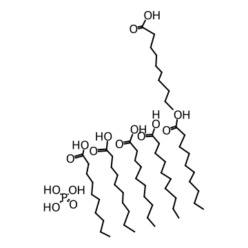 CCCCCCCCCC(=O)O.CCCCCCCCCC(=O)O.CCCCCCCCCC(=O)O.CCCCCCCCCC(=O)O.CCCCCCCCCC(=O)O.CCCCCCCCCC(=O)O.O=P(O)(O)O